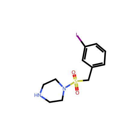 O=S(=O)(Cc1cccc(I)c1)N1CCNCC1